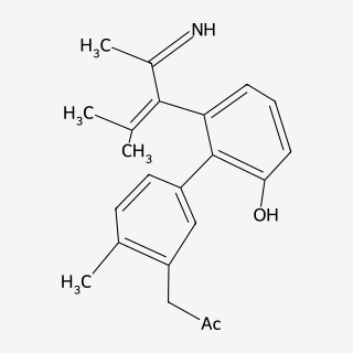 CC(=N)C(=C(C)C)c1cccc(O)c1-c1ccc(C)c(CC(C)=O)c1